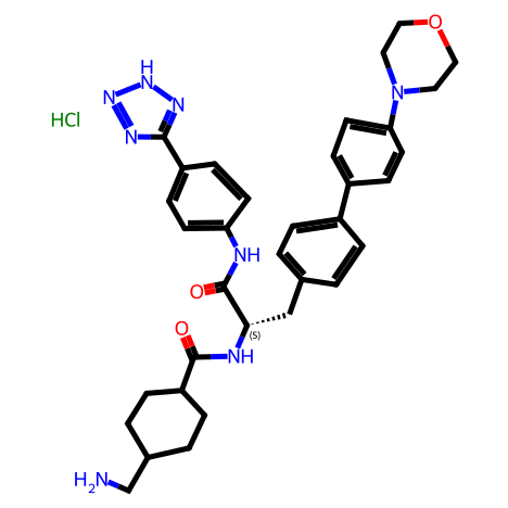 Cl.NCC1CCC(C(=O)N[C@@H](Cc2ccc(-c3ccc(N4CCOCC4)cc3)cc2)C(=O)Nc2ccc(-c3nn[nH]n3)cc2)CC1